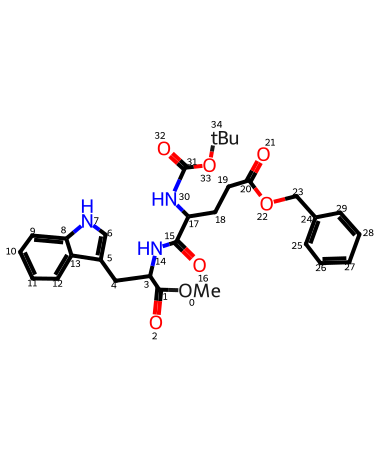 COC(=O)C(Cc1c[nH]c2ccccc12)NC(=O)C(CCC(=O)OCc1ccccc1)NC(=O)OC(C)(C)C